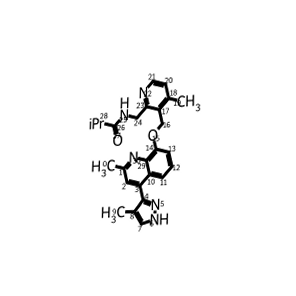 Cc1cc(-c2n[nH]cc2C)c2cccc(OCc3c(C)ccnc3CNC(=O)C(C)C)c2n1